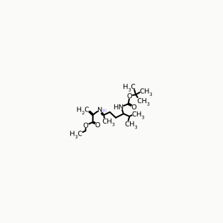 C=C(/N=C(\C)CCC(NC(=O)OC(C)(C)C)C(C)C)C(=O)OCC